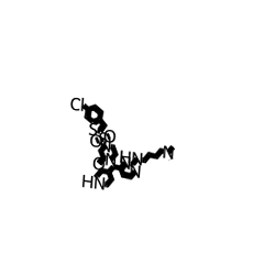 CN(C)CCCCNc1nccc(C(C2CCNCC2)N2CCN(S(=O)(=O)c3cc4ccc(Cl)cc4s3)CC2=O)n1